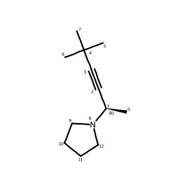 C[C@H](C#CC(C)(C)C)N1CCCC1